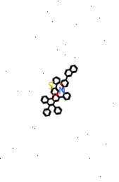 c1ccc(-c2c(-c3ccccc3)c3cc(-c4ccccc4N(c4ccc(-c5ccc6ccccc6c5)cc4)c4cccc5sc6ccccc6c45)ccc3c3ccccc23)cc1